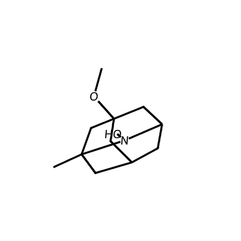 COC12CC3CC(C1)N(O)C(C)(C3)C2